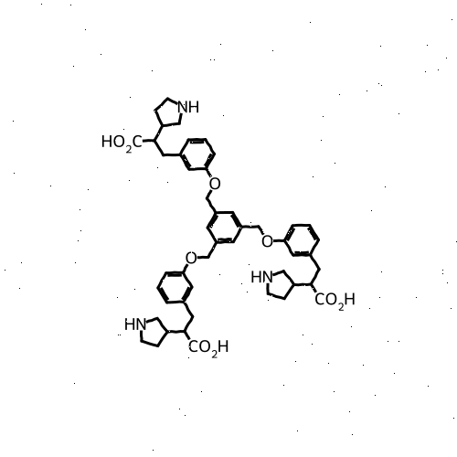 O=C(O)C(Cc1cccc(OCc2cc(COc3cccc(CC(C(=O)O)C4CCNC4)c3)cc(COc3cccc(CC(C(=O)O)C4CCNC4)c3)c2)c1)C1CCNC1